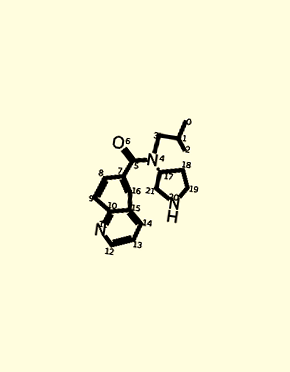 CC(C)CN(C(=O)c1ccc2ncccc2c1)[C@@H]1CCNC1